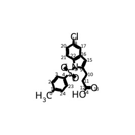 Cc1ccc(S(=O)(=O)n2c(CCC(=O)O)cc3cc(Cl)ccc32)cc1